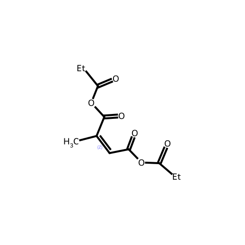 CCC(=O)OC(=O)/C=C(/C)C(=O)OC(=O)CC